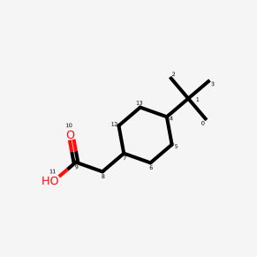 CC(C)(C)C1CC[C](CC(=O)O)CC1